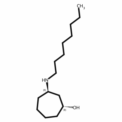 CCCCCCCCN[C@@H]1CCCC[C@@H](O)C1